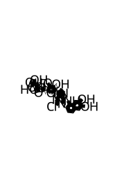 O=P(O)(O)CP(=O)(O)OC[C@H]1O[C@@H](n2cnc3c(Nc4cccc5cc(O)c(O)cc45)nc(Cl)nc32)[C@@H](O)C1O